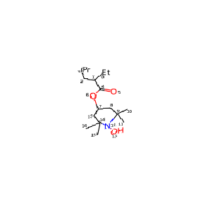 CCC(CC(C)C)C(=O)OC1CC(C)(C)N(O)C(C)(C)C1